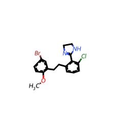 COc1ccc(Br)cc1CCc1cccc(Cl)c1C1=NCCN1